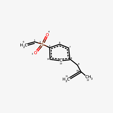 C=CS(=O)(=O)c1ccc(CC(=C)C)cc1